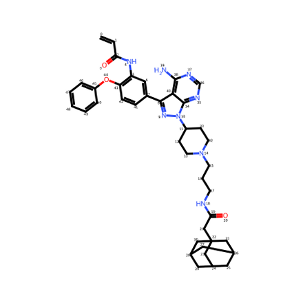 C=CC(=O)Nc1cc(-c2nn(C3CCN(CCCNC(=O)CC45CC6CC(CC(C6)C4)C5)CC3)c3ncnc(N)c23)ccc1Oc1ccccc1